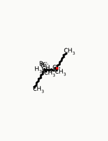 CCCCCCCCCC[N+](C)(C)CCCC[N+](C)(C)CCCCCCCCCC.[Br-].[Br-]